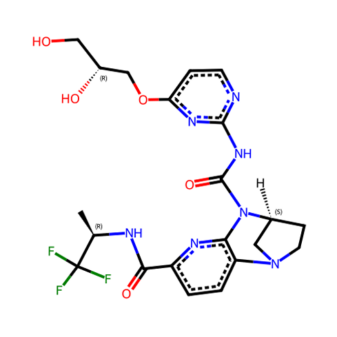 C[C@@H](NC(=O)c1ccc2c(n1)N(C(=O)Nc1nccc(OC[C@H](O)CO)n1)[C@H]1CCN2C1)C(F)(F)F